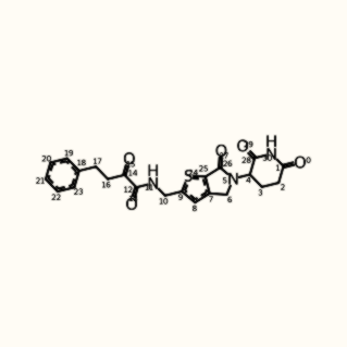 O=C1CCC(N2Cc3cc(CNC(=O)C(=O)CCc4ccccc4)sc3C2=O)C(=O)N1